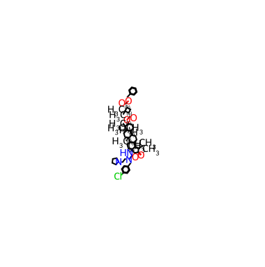 CC(C)C1=C2[C@H]3CC[C@@H]4[C@@]5(C)CC[C@H](OC(=O)[C@H]6C[C@@H](C(=O)OCc7ccccc7)C6(C)C)C(C)(C)[C@@H]5CC[C@@]4(C)[C@]3(C)CC[C@@]2(NC(=O)N(CCN2CCCC2)Cc2ccc(Cl)cc2)CC1=O